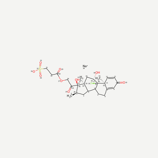 C[C@@H]1CC2C3CCC4=CC(=O)C=C[C@]4(C)[C@@]3(F)[C@@H](O)C[C@]2(C)[C@@]1(O)C(=O)COC(=O)CCS(=O)(=O)[O-].[Na+]